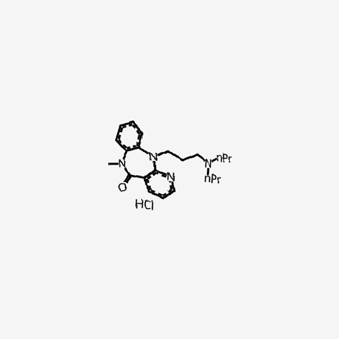 CCCN(CCC)CCCN1c2ccccc2N(C)C(=O)c2cccnc21.Cl